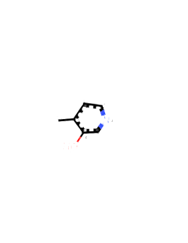 [CH]c1ccncc1O